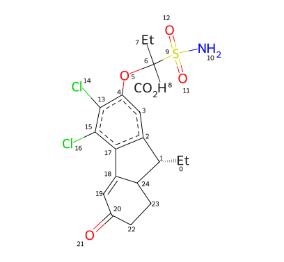 CC[C@H]1c2cc(OC(CC)(C(=O)O)S(N)(=O)=O)c(Cl)c(Cl)c2C2=CC(=O)CCC21